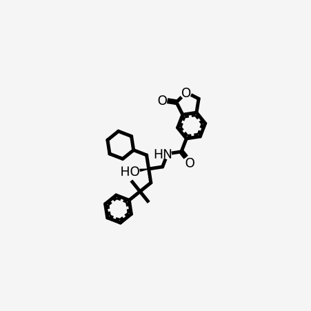 CC(C)(C[C@@](O)(CNC(=O)c1ccc2c(c1)C(=O)OC2)CC1CCCCC1)c1ccccc1